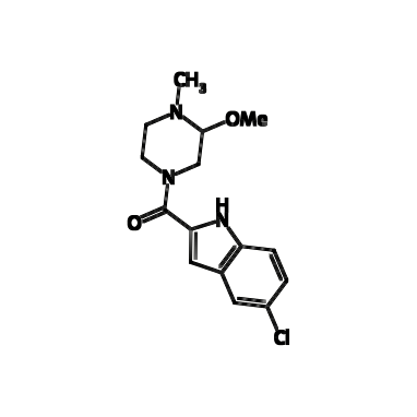 COC1CN(C(=O)c2cc3cc(Cl)ccc3[nH]2)CCN1C